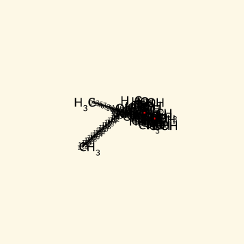 CCCCCCCCCCCCC/C=C/[C@@H](O)[C@H](CO[C@@H]1OC(CO)[C@@H](O[C@@H]2OC(CO)[C@H](O[C@@H]3OC(CO[C@]4(C(=O)O)CC(O)[C@@H](NC(C)=O)C([C@H](O)[C@H](O)CO)O4)[C@H](O)[C@H](O[C@@H]4OC(CO)[C@H](O)[C@H](O[C@]5(C(=O)O)CC(O)[C@@H](NC(C)=O)C([C@H](O)[C@H](O)CO)O5)C4O)C3NC(C)=O)[C@H](O)C2O)[C@H](O)C1O)NC(=O)CCCCCCCCCCCCCCCCCCCCCCCCC